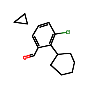 C1CC1.O=Cc1cccc(Cl)c1C1CCCCC1